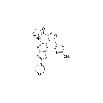 Cc1ccc(C2OC=C(C(N)=O)N2c2cc3sc(N4CCOCC4)nc3nc2N2CCCCC2)cn1